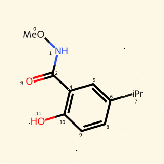 CONC(=O)c1cc(C(C)C)ccc1O